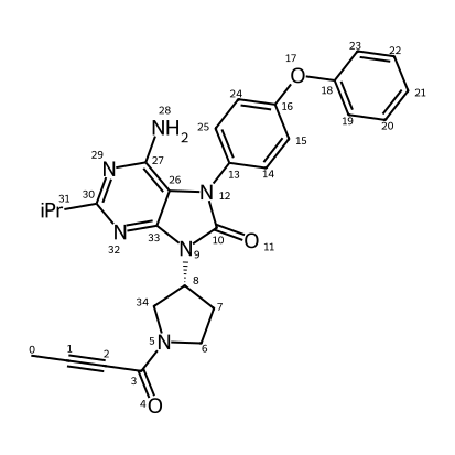 CC#CC(=O)N1CC[C@@H](n2c(=O)n(-c3ccc(Oc4ccccc4)cc3)c3c(N)nc(C(C)C)nc32)C1